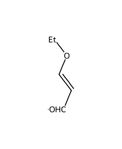 CCOC=C[C]=O